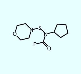 O=C(F)N(SN1CCOCC1)C1CCCC1